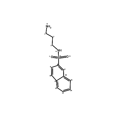 NCCCNS(=O)(=O)c1ccc2ccccc2c1